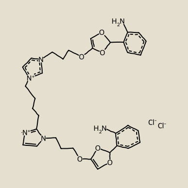 Nc1ccccc1C1OC=C(OCCCN2C=C[N+]=C2CCCC[n+]2ccn(CCCOC3=COC(c4ccccc4N)O3)c2)O1.[Cl-].[Cl-]